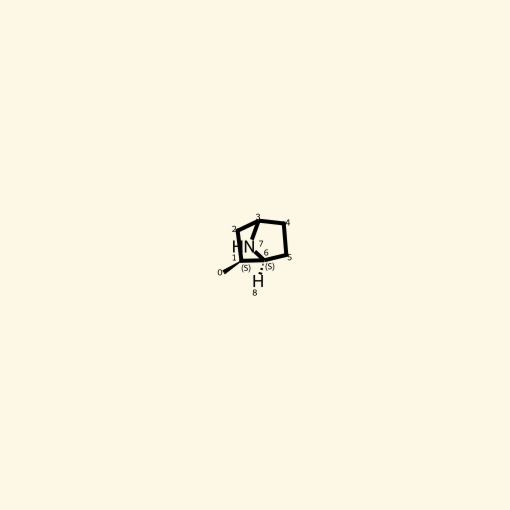 C[C@H]1CC2CC[C@@H]1N2